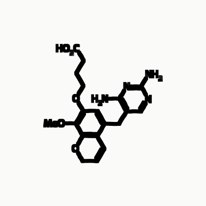 COc1c(OCCCC(=O)O)cc(Cc2cnc(N)nc2N)c2c1OCC=C2